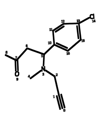 C#CCN(C)C(CC(C)=O)c1ccc(Cl)cc1